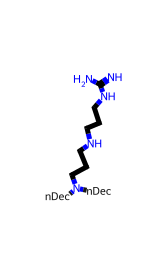 CCCCCCCCCCN(CCCCCCCCCC)CCCNCCCNC(=N)N